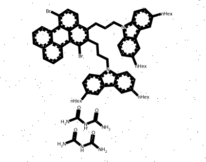 CCCCCCc1ccc2c(c1)c1cc(CCCCCC)ccc1n2CCCc1c(CCCn2c3ccc(CCCCCC)cc3c3cc(CCCCCC)ccc32)c2ccc(Br)c3c4cccc5cccc(c(c1Br)c23)c54.NC(=O)NC(N)=O.NC(=O)NC(N)=O